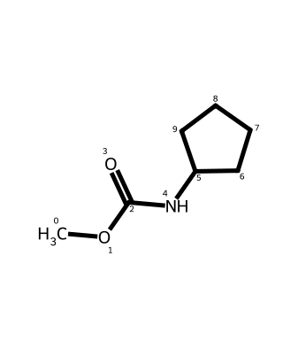 COC(=O)NC1CCCC1